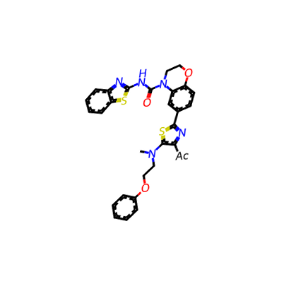 CC(=O)c1nc(-c2ccc3c(c2)N(C(=O)Nc2nc4ccccc4s2)CCO3)sc1N(C)CCOc1ccccc1